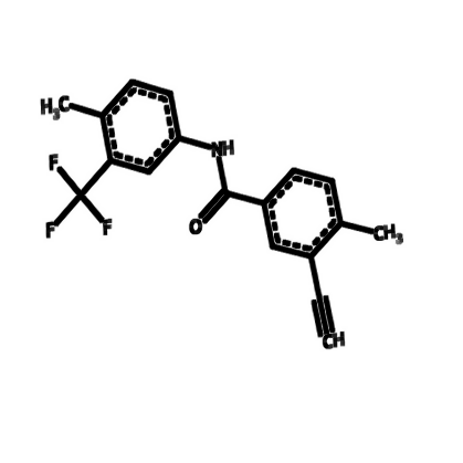 C#Cc1cc(C(=O)Nc2ccc(C)c(C(F)(F)F)c2)ccc1C